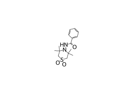 CC1(C)CS(=O)(=O)CC(C)(C)N1NC(=O)c1ccccc1